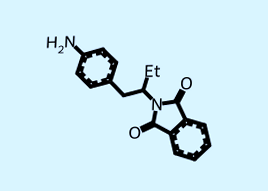 CCC(Cc1ccc(N)cc1)N1C(=O)c2ccccc2C1=O